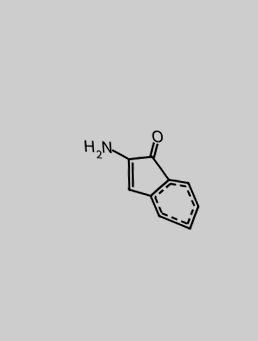 NC1=Cc2ccccc2C1=O